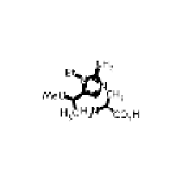 CCn1c(C(C)OC)cnc1C.C[C@H](N)C(=O)O